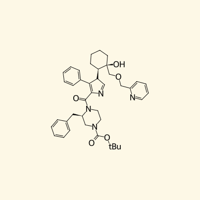 CC(C)(C)OC(=O)N1CCN(C(=O)C2=C(c3ccccc3)C([C@H]3CCCC[C@]3(O)COCc3ccccn3)C=N2)[C@H](Cc2ccccc2)C1